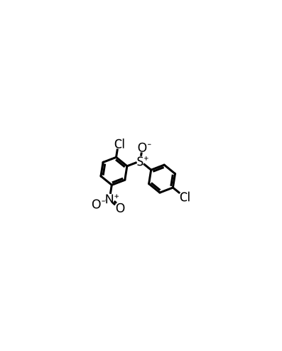 O=[N+]([O-])c1ccc(Cl)c([S+]([O-])c2ccc(Cl)cc2)c1